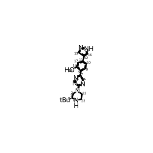 CC(C)(C)[C@H]1CN(c2ncc(-c3ccc(-c4cn[nH]c4)cc3O)nn2)CCN1